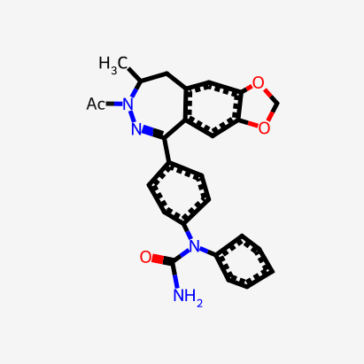 CC(=O)N1N=C(c2ccc(N(C(N)=O)c3ccccc3)cc2)c2cc3c(cc2CC1C)OCO3